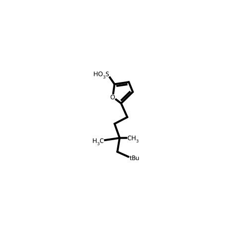 CC(C)(C)CC(C)(C)CCc1ccc(S(=O)(=O)O)o1